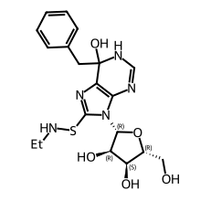 CCNSc1nc2c(n1[C@@H]1O[C@H](CO)[C@@H](O)[C@H]1O)N=CNC2(O)Cc1ccccc1